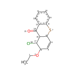 CCOC1C=CC2Sc3ccccc3C(=O)C2C1Cl